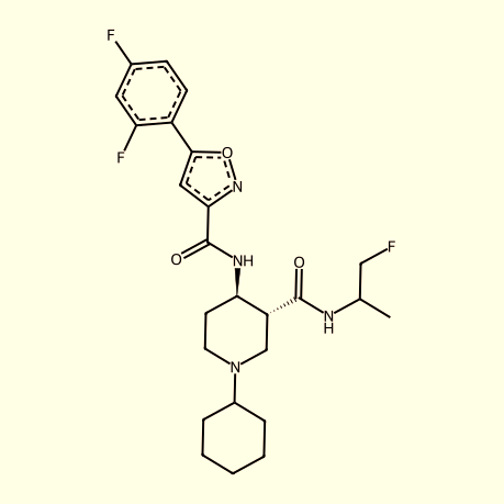 CC(CF)NC(=O)[C@@H]1CN(C2CCCCC2)CC[C@H]1NC(=O)c1cc(-c2ccc(F)cc2F)on1